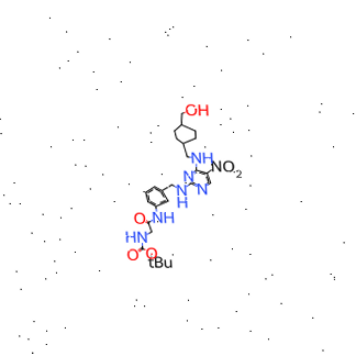 CC(C)(C)OC(=O)NCC(=O)Nc1cccc(CNc2ncc([N+](=O)[O-])c(NCC3CCC(CO)CC3)n2)c1